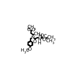 COC(=O)CC(C)N(Cc1ccc(OC)cc1)C(=O)CNC(=O)OC(C)(C)C